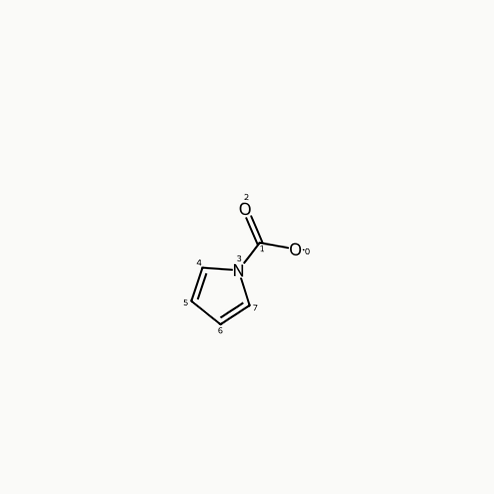 [O]C(=O)n1cccc1